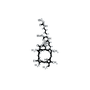 C=Cc1c(C)c2cc3nc(c(CC(=O)OC)c4[nH]c(cc5nc(cc1[nH]2)C(C)=C5CC)c(C)c4C(=O)OC)[C@@H](CCCC(=O)N[C@@H](CCCCNC(=O)OC(C)(C)C)C(=O)OC)[C@@H]3C